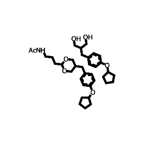 CC(=O)NCCCC1OCC(Cc2ccc(OC3CCCC3)cc2)CO1.OCC(CO)Cc1ccc(OC2CCCC2)cc1